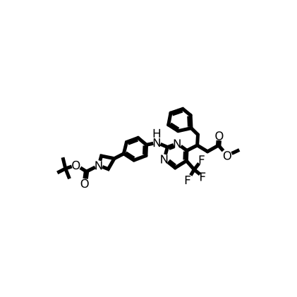 COC(=O)CC(Cc1ccccc1)c1nc(Nc2ccc(C3CN(C(=O)OC(C)(C)C)C3)cc2)ncc1C(F)(F)F